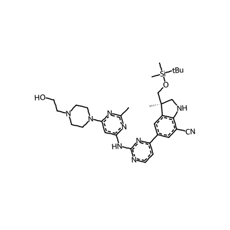 Cc1nc(Nc2nccc(-c3cc(C#N)c4c(c3)[C@@](C)(CO[Si](C)(C)C(C)(C)C)CN4)n2)cc(N2CCN(CCO)CC2)n1